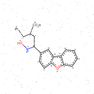 CC(C)CC(CC(NO)c1ccc2oc3ccccc3c2c1)C(=O)O